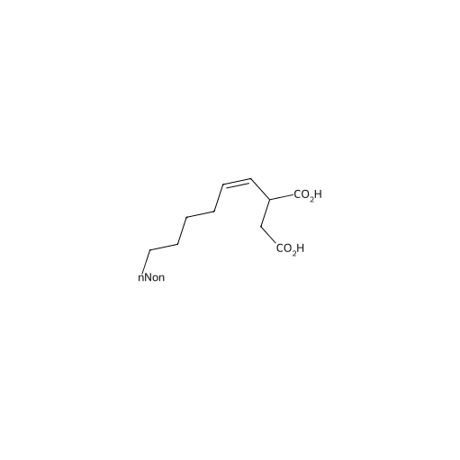 CCCCCCCCCCCCC/C=C\C(CC(=O)O)C(=O)O